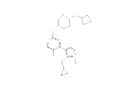 Cn1ncc(-c2nc(N[C@H]3CC[C@H](NC4CCC4)CC3)ncc2F)c1CC1CC1